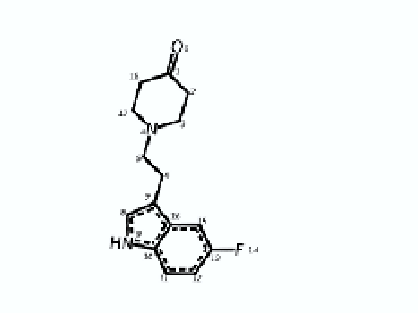 O=C1CCN(CCc2c[nH]c3ccc(F)cc23)CC1